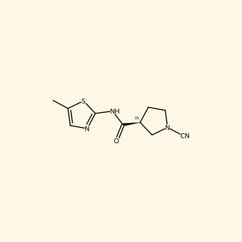 Cc1cnc(NC(=O)[C@H]2CCN(C#N)C2)s1